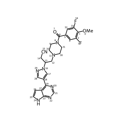 COc1c(F)cc(C(=O)N2CCN(CC(CC#N)n3cc(-c4ncnc5[nH]ccc45)cn3)CC2)cc1F